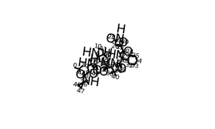 CCC[C@H](NC(=O)[C@@H]1[C@H]2NCC[C@H]2CN1C(=O)[C@@H](NC(=O)[C@@H](NC(=O)c1cc(=O)[nH]o1)C1CCCCC1)C(C)(C)C)C(=O)C(=O)NC1CC1